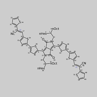 CCCCCCCCC(CCCCCC)CN1C(=O)C2=C(c3ccc(-c4ccc(/C=C(\C#N)c5cccs5)s4)s3)N(CC(CCCCCC)CCCCCCCC)C(=O)C2=C1c1ccc(-c2ccc(/C=C(\C#N)c3cccs3)s2)s1